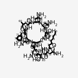 CCCCCC(=O)CC(=O)N[C@@H](CCN)C(=O)N[C@H](C(=O)N[C@@H](CCN)C(=O)N[C@H]1CCNC(=O)[C@H]([C@@H](C)O)NC(=O)[C@H](CCN)NC(=O)[C@H](CCN)NC(=O)[C@H](CC(C)C)NC(=O)[C@@H](Cc2ccccc2)NC(=O)[C@H](CCN)NC1=O)[C@@H](C)O